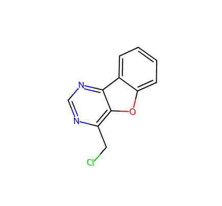 ClCc1ncnc2c1oc1ccccc12